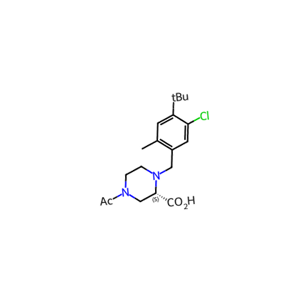 CC(=O)N1CCN(Cc2cc(Cl)c(C(C)(C)C)cc2C)[C@H](C(=O)O)C1